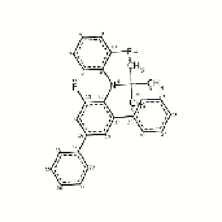 CC(C)(C)N(c1ccccc1F)c1c(F)cc(-c2ccccc2)cc1-c1ccccc1